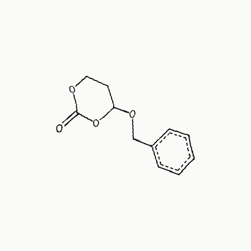 O=C1OCCC(OCc2ccccc2)O1